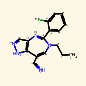 CCCN1C=C(C=N)c2[nH]ncc2N=C1c1ccccc1F